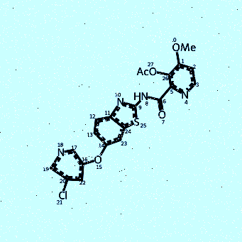 COc1ccnc(C(=O)Nc2nc3ccc(Oc4cncc(Cl)c4)cc3s2)c1OC(C)=O